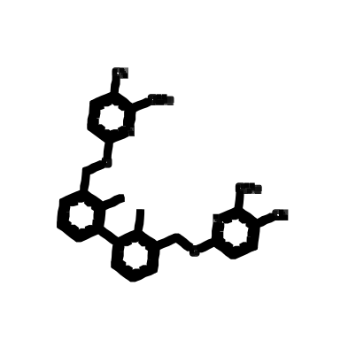 COc1nc(OCc2cccc(-c3cccc(COc4ccc(C#N)c(OC)n4)c3C)c2C)ccc1C#N